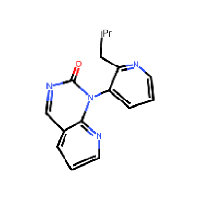 CC(C)Cc1ncccc1-n1c(=O)ncc2cccnc21